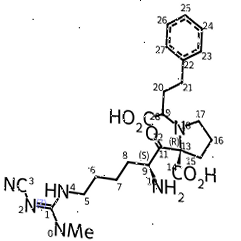 CN/C(=N/C#N)NCCCC[C@H](N)C(=O)[C@@]1(C(=O)O)CCCN1C(CCc1ccccc1)C(=O)O